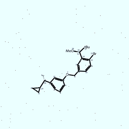 [CH2][C@H](c1cccc(OCc2ccc(Br)c([C@@H](OC)C(C)(C)C)c2)c1)C1CC1